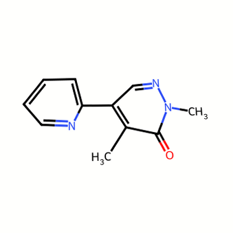 Cc1c(-c2ccccn2)cnn(C)c1=O